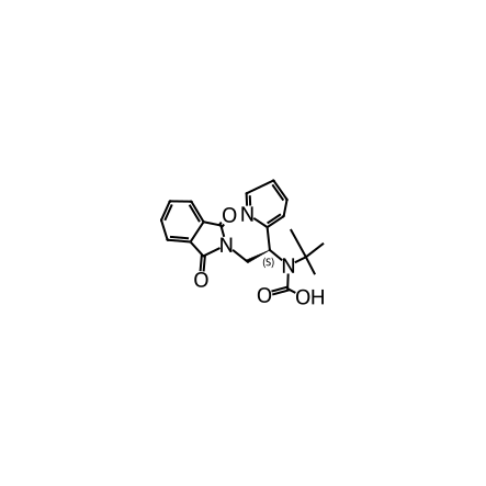 CC(C)(C)N(C(=O)O)[C@@H](CN1C(=O)c2ccccc2C1=O)c1ccccn1